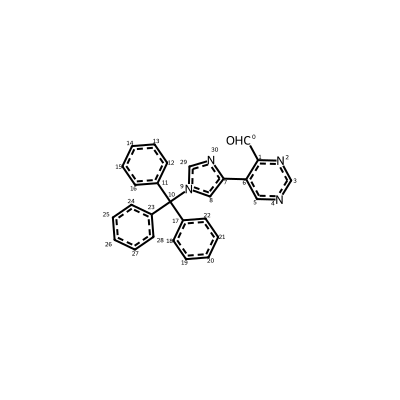 O=Cc1ncncc1-c1cn(C(c2ccccc2)(c2ccccc2)c2ccccc2)cn1